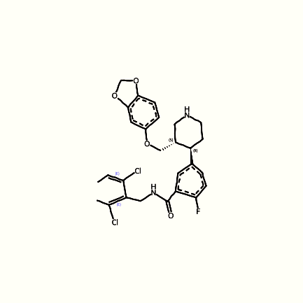 C/C=C(Cl)\C(CNC(=O)c1cc([C@@H]2CCNC[C@H]2COc2ccc3c(c2)OCO3)ccc1F)=C(/C)Cl